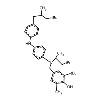 Cc1cc(CN(c2ccc(Nc3ccc(CC(C)CC(C)(C)C)cc3)cc2)C(C)CC(C)C)cc(C(C)(C)C)c1O